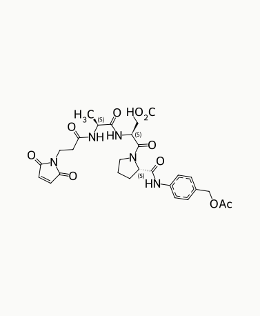 CC(=O)OCc1ccc(NC(=O)[C@@H]2CCCN2C(=O)[C@H](CC(=O)O)NC(=O)[C@H](C)NC(=O)CCN2C(=O)C=CC2=O)cc1